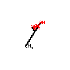 CCCCCCCCCCCCCC(CCCC(=O)OCCO)CC(O)CO